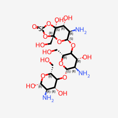 N[C@H]1[C@@H](OC2[C@@H](CO)O[C@@H](OC3[C@@H](CO)O[C@@H](O)[C@H](N)[C@H]3O)[C@H](N)[C@H]2O)O[C@]2(CO)O[Si](=O)O[C@@]2(O)[C@@H]1O